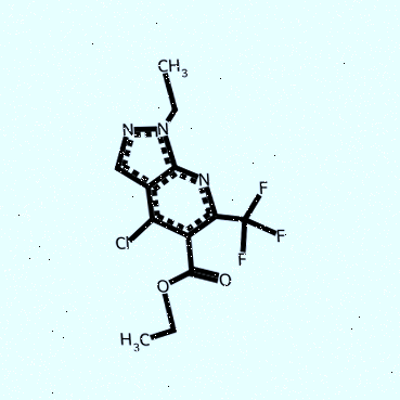 CCOC(=O)c1c(C(F)(F)F)nc2c(cnn2CC)c1Cl